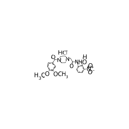 COc1ccc(C(=O)N2CCN(CC(=O)Nc3cccc([N+](=O)[O-])c3O)CC2)cc1OC.Cl